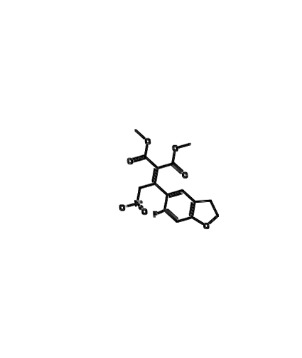 COC(=O)C(C(=O)OC)=C(C[N+](=O)[O-])c1cc2c(cc1F)OCC2